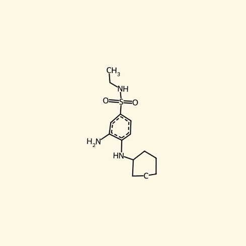 CCNS(=O)(=O)c1ccc(NC2CCCCC2)c(N)c1